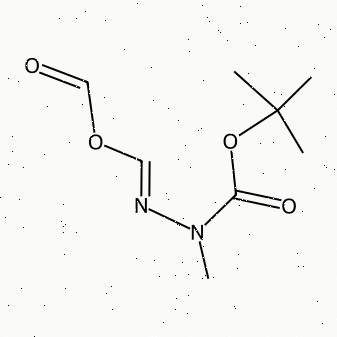 CN(N=COC=O)C(=O)OC(C)(C)C